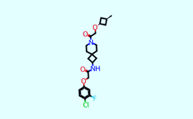 C[C@H]1C[C@H](OCC(=O)N2CCC3(CC2)CC(NC(=O)COc2ccc(Cl)c(F)c2)C3)C1